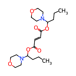 CCCC(OC(=O)/C=C/C(=O)OC(CCC)N1CCOCC1)N1CCOCC1